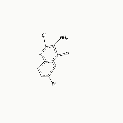 CCc1ccc2sc(Cl)c(N)c(=O)c2c1